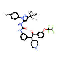 Cc1ccc(-n2nc(C(C)(C)C)cc2NC(=O)Nc2cccc(C(C(=O)c3cccc(OC(F)(F)C(F)F)c3)C3CCNCC3)c2)cc1